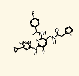 CC(Nc1nc(Nc2cc(C3CC3)[nH]n2)c(F)cc1CNC(=O)Cc1cccs1)c1ccc(F)cc1